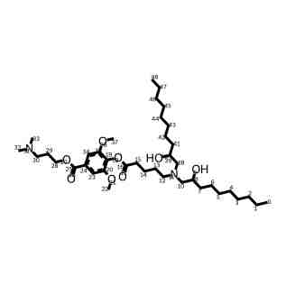 CCCCCCCCC(O)CN(CCCCC(=O)Oc1c(OC)cc(C(=O)OCCCN(C)C)cc1OC)CC(O)CCCCCCCC